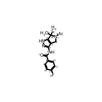 CC(=O)N1Cc2c(NC(=O)c3ccc(F)cc3)n[nH]c2C1(C)C